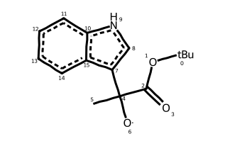 CC(C)(C)OC(=O)C(C)([O])c1c[nH]c2ccccc12